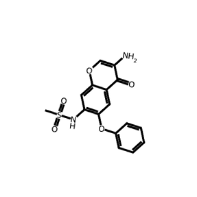 CS(=O)(=O)Nc1cc2occ(N)c(=O)c2cc1Oc1ccccc1